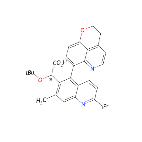 Cc1cc2nc(C(C)C)ccc2c(-c2ccc3c4c(ccnc24)CCO3)c1[C@H](OC(C)(C)C)C(=O)O